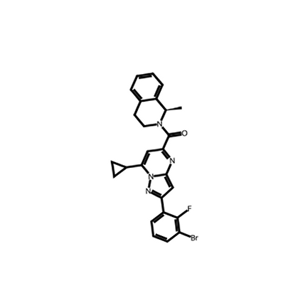 C[C@@H]1c2ccccc2CCN1C(=O)c1cc(C2CC2)n2nc(-c3cccc(Br)c3F)cc2n1